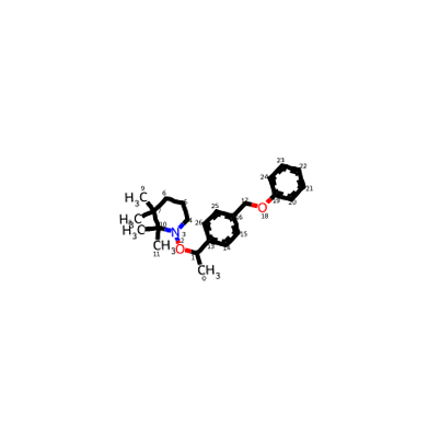 CC(ON1CCCC(C)(C)C1(C)C)c1ccc(COc2ccccc2)cc1